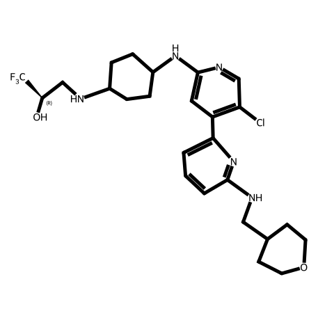 O[C@H](CNC1CCC(Nc2cc(-c3cccc(NCC4CCOCC4)n3)c(Cl)cn2)CC1)C(F)(F)F